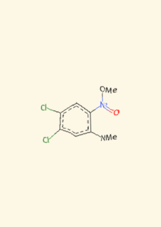 CNc1cc(Cl)c(Cl)cc1[N+](=O)OC